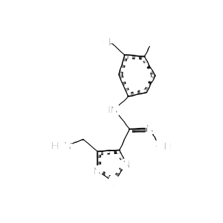 NCc1nonc1/C(=N\O)Nc1ccc(F)c(Cl)c1